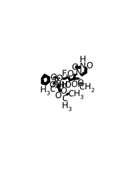 C=C=C[C@]1(O)[C@H](n2ccc(=O)[nH]c2=O)O[C@](F)(COP(=O)(N[C@@H](C)C(=O)OC(C)C)Oc2ccccc2)[C@H]1O